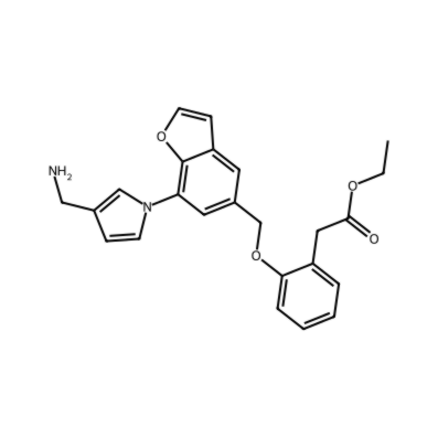 CCOC(=O)Cc1ccccc1OCc1cc(-n2ccc(CN)c2)c2occc2c1